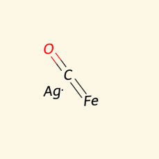 O=[C]=[Fe].[Ag]